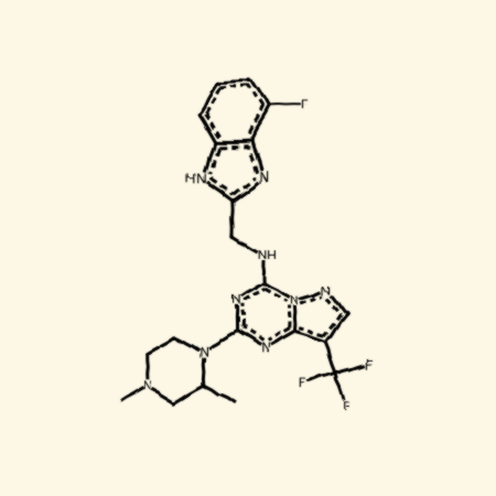 CC1CN(C)CCN1c1nc(NCc2nc3c(F)cccc3[nH]2)n2ncc(C(F)(F)F)c2n1